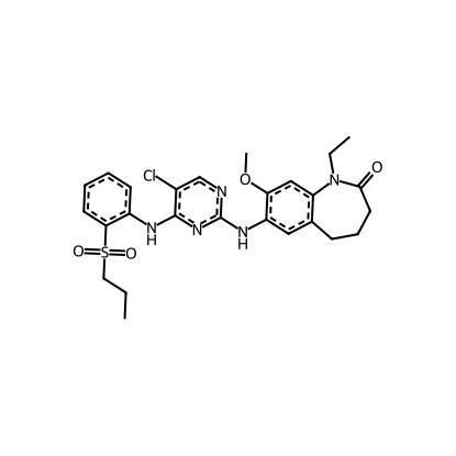 CCCS(=O)(=O)c1ccccc1Nc1nc(Nc2cc3c(cc2OC)N(CC)C(=O)CCC3)ncc1Cl